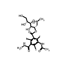 CNC[C@H](OC(=O)c1c(I)c(NC(C)=O)c(I)c(C(=O)NC)c1I)[C@@H](O)[C@H](O)[C@H](O)CO